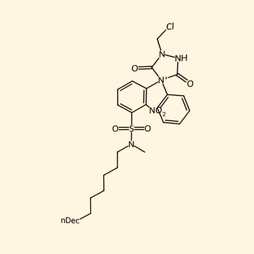 CCCCCCCCCCCCCCCCN(C)S(=O)(=O)c1cccc([N+]2(c3ccccc3)C(=O)NN(CCl)C2=O)c1[N+](=O)[O-]